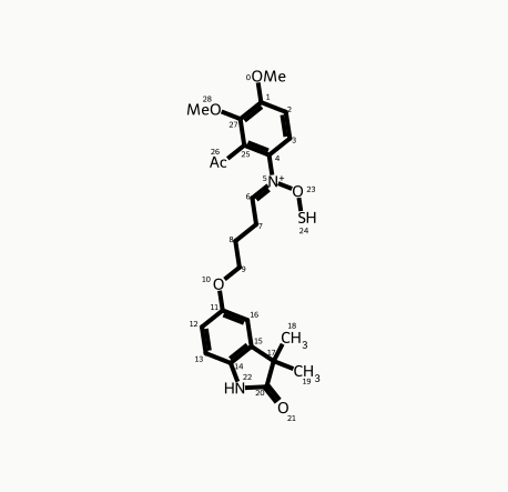 COc1ccc([N+](=CCCCOc2ccc3c(c2)C(C)(C)C(=O)N3)OS)c(C(C)=O)c1OC